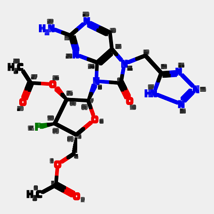 CC(=O)OC[C@H]1O[C@H](n2c(=O)n(Cc3nnn[nH]3)c3cnc(N)nc32)[C@H](OC(C)=O)[C@@H]1F